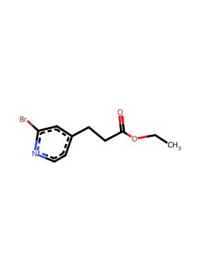 CCOC(=O)CCc1ccnc(Br)c1